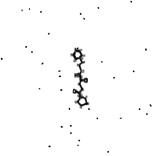 O=C(CCC(=O)N1CCCC1)NCCCc1ccncc1